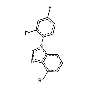 Fc1ccc(-n2cnc3c(Br)cccc32)c(F)c1